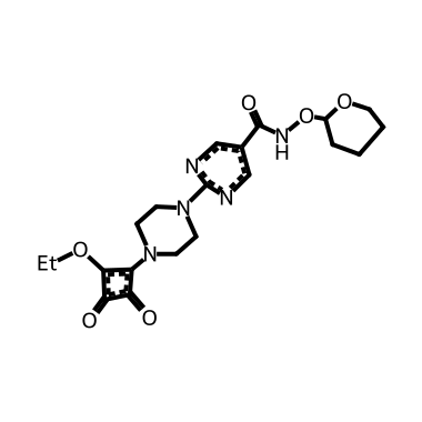 CCOc1c(N2CCN(c3ncc(C(=O)NOC4CCCCO4)cn3)CC2)c(=O)c1=O